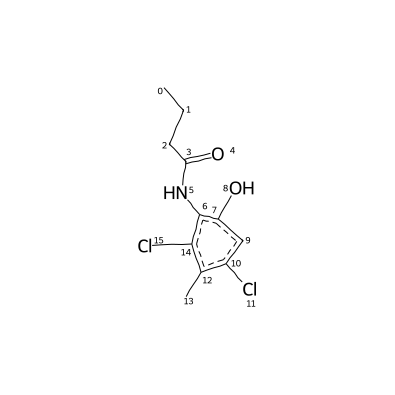 CCCC(=O)Nc1c(O)cc(Cl)c(C)c1Cl